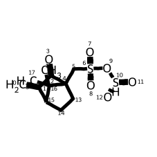 C=C1C(=O)C2(CS(=O)(=O)O[SH](=O)=O)CCC1C2(C)C